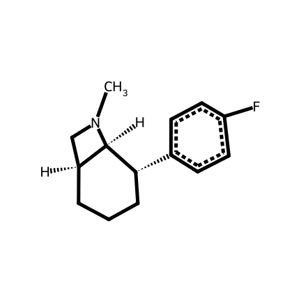 CN1C[C@@H]2CCC[C@@H](c3ccc(F)cc3)[C@@H]21